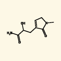 CN1CC=C(CC(O)C(N)=O)C1=O